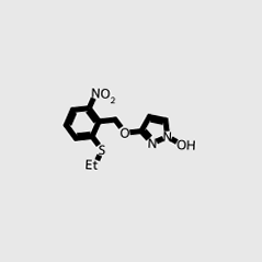 CCSc1cccc([N+](=O)[O-])c1COc1ccn(O)n1